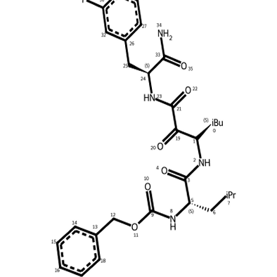 CC[C@H](C)C(NC(=O)[C@H](CC(C)C)NC(=O)OCc1ccccc1)C(=O)C(=O)N[C@@H](Cc1cccc(F)c1)C(N)=O